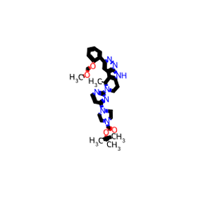 COCOc1ccccc1-c1cc2c3c([nH]c2nn1)CCN(c1nccc(N2CCN(C(=O)OC(C)(C)C)CC2)n1)[C@@H]3C